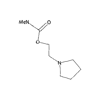 CNC(=O)OCCN1CCCC1